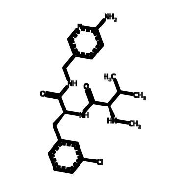 CN[C@@H](C(=O)N[C@@H](Cc1cccc(Cl)c1)C(=O)NCc1ccc(N)nc1)C(C)C